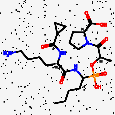 CCCCC(NC(=O)[C@H](CCCCN)NC(=O)C1CC1)P(=O)(O)O[C@@H](C)C(=O)N1CCC[C@H]1C(=O)O